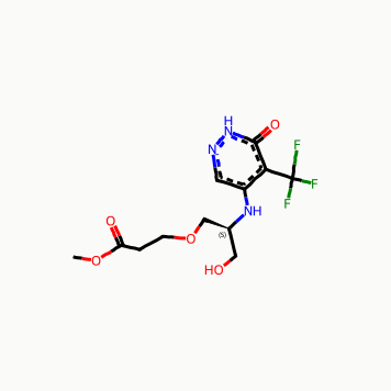 COC(=O)CCOC[C@H](CO)Nc1cn[nH]c(=O)c1C(F)(F)F